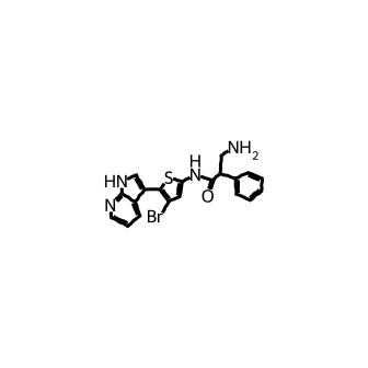 NCC(C(=O)Nc1cc(Br)c(-c2c[nH]c3ncccc23)s1)c1ccccc1